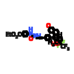 CCOC(=O)c1ccc(NC(=O)NCC#Cc2ccc([C@H]3C[C@@]4(C)[C@@H](CC[C@@]4(O)C(F)(F)C(F)(F)F)[C@@H]4CCC5=CC(=O)CCC5=C43)cc2)cc1